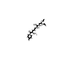 CCOC(CNC(=N)NCCC[C@H](N)C(=O)N1CCC(C)CC1)OCC